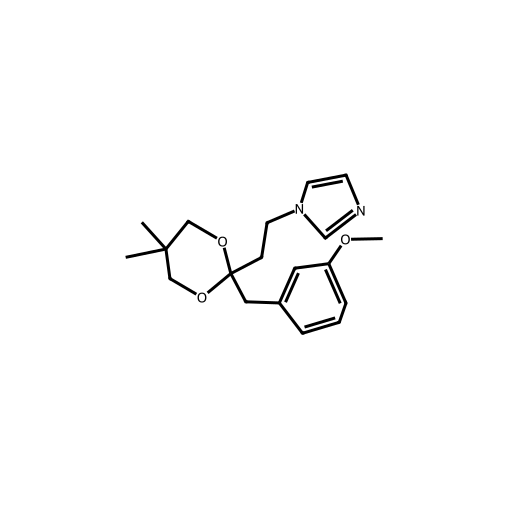 COc1cccc(CC2(CCn3ccnc3)OCC(C)(C)CO2)c1